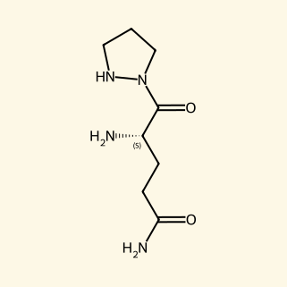 NC(=O)CC[C@H](N)C(=O)N1CCCN1